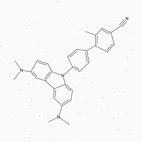 Cc1cc(C#N)ccc1-c1ccc(-n2c3ccc(N(C)C)cc3c3cc(N(C)C)ccc32)cc1